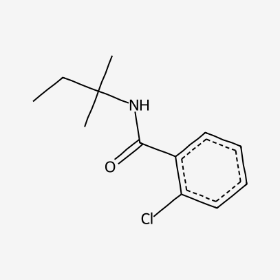 CCC(C)(C)NC(=O)c1ccccc1Cl